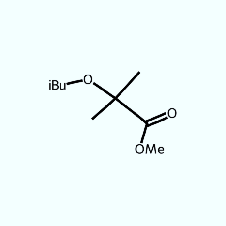 CCC(C)OC(C)(C)C(=O)OC